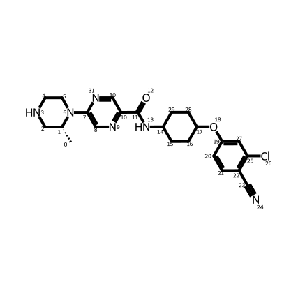 C[C@@H]1CNCCN1c1cnc(C(=O)NC2CCC(Oc3ccc(C#N)c(Cl)c3)CC2)cn1